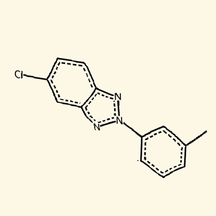 Cc1cc[c]c(-n2nc3ccc(Cl)cc3n2)c1